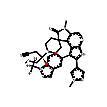 [2H]C([2H])([2H])n1ncc2cc(-c3c(-c4cnn(C)c4)[nH]c4ncc5c(c34)C3(CCN([C@@](C)(CC#N)COC)CC3)C(=O)N5C)ccc21